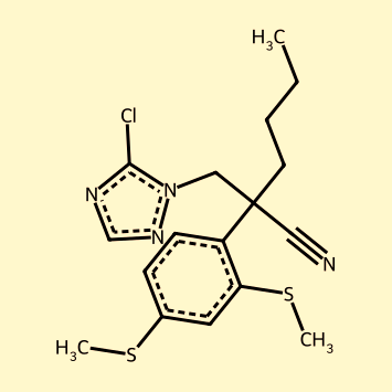 CCCCC(C#N)(Cn1ncnc1Cl)c1ccc(SC)cc1SC